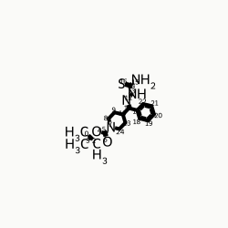 CC(C)(C)OC(=O)N1CCC(C(=NNC(N)=S)c2ccccc2)CC1